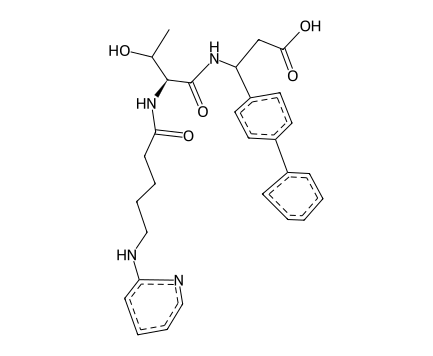 CC(O)[C@H](NC(=O)CCCCNc1ccccn1)C(=O)NC(CC(=O)O)c1ccc(-c2ccccc2)cc1